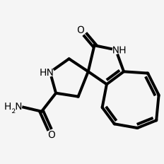 NC(=O)C1CC2(CN1)C(=O)NC1=C2\C=C/C=C\C=C/1